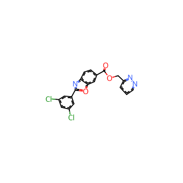 O=C(OCc1cccnn1)c1ccc2nc(-c3cc(Cl)cc(Cl)c3)oc2c1